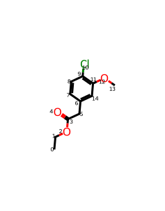 CCOC(=O)Cc1ccc(Cl)c(OC)c1